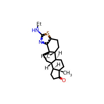 CCNc1nc2c(s1)CC[C@@]1(C)C2=CC[C@@H]2[C@@H]1CC[C@]1(C)C(=O)CC[C@@H]21